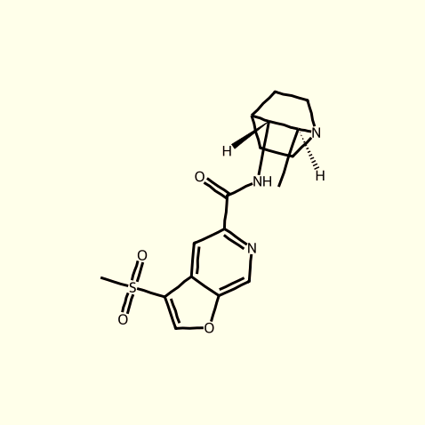 C[C@H]1[C@H](NC(=O)c2cc3c(S(C)(=O)=O)coc3cn2)C2CCN1CC2